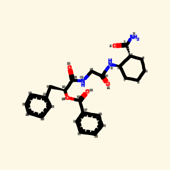 NC(=O)[C@@H]1CCCC[C@H]1NC(=O)CNC(=O)[C@H](Cc1ccccc1)OC(=O)c1ccccc1